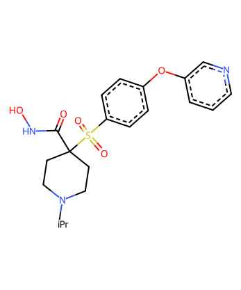 CC(C)N1CCC(C(=O)NO)(S(=O)(=O)c2ccc(Oc3cccnc3)cc2)CC1